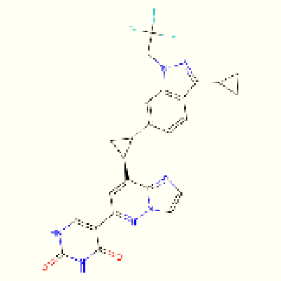 O=c1[nH]cc(-c2cc([C@H]3C[C@@H]3c3ccc4c(C5CC5)nn(CC(F)(F)F)c4c3)c3nccn3n2)c(=O)[nH]1